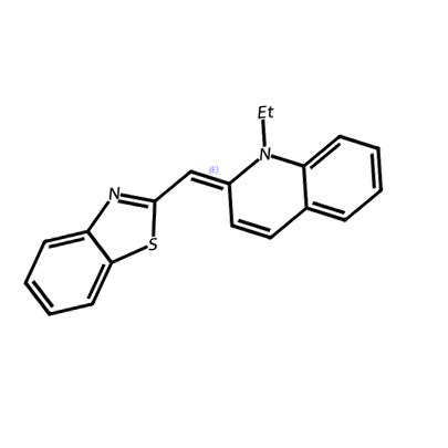 CCN1/C(=C/c2nc3ccccc3s2)C=Cc2ccccc21